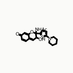 CC(=O)NC1(c2ccc(N3CCCCC3)s2)OC2=CC(=O)C=CC2=CC1O